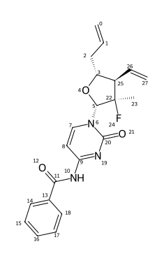 C=CC[C@H]1O[C@@H](n2ccc(NC(=O)c3ccccc3)nc2=O)[C@](C)(F)[C@@H]1C=C